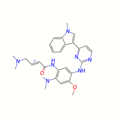 COc1cc(N(C)C)c(NC(=O)/C=C/CN(C)C)cc1Nc1nccc(-c2cn(C)c3ccccc23)n1